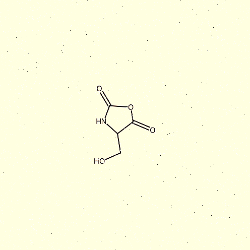 O=C1NC(CO)C(=O)O1